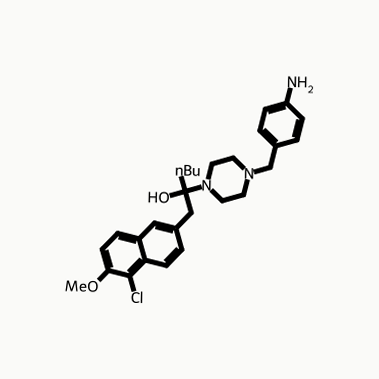 CCCCC(O)(Cc1ccc2c(Cl)c(OC)ccc2c1)N1CCN(Cc2ccc(N)cc2)CC1